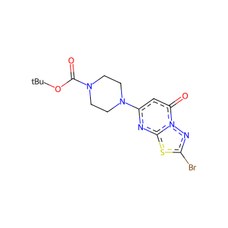 CC(C)(C)OC(=O)N1CCN(c2cc(=O)n3nc(Br)sc3n2)CC1